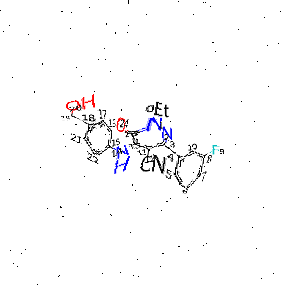 CCn1nc(-c2cccc(F)c2)c(C#N)c(Nc2ccc(CO)cc2)c1=O